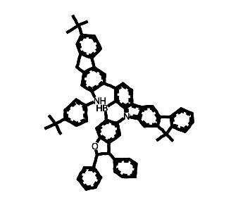 CC(C)(C)c1ccc(Nc2cc3c(cc2-c2ccc4c5cc6c(cc5n5c4c2Bc2cc4c(cc2-5)C(c2ccccc2)C(c2ccccc2)O4)C(C)(C)c2ccccc2-6)-c2ccc(C(C)(C)C)cc2C3)cc1